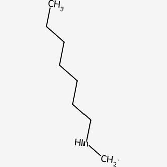 [CH2][InH][CH2]CCCCCC